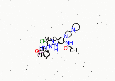 C=CC(=O)Nc1cc(Nc2ncc(Cl)c(Nc3ccccc3P(C)(C)=O)n2)c(OC)cc1N1CCC(N2CCCCCC2)CC1